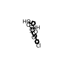 O=C(O)c1cccc(NN2C(=O)/C(=C\c3ccc(-c4ccc(Cl)cc4)o3)SC2=S)c1